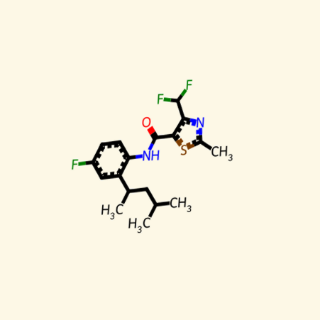 Cc1nc(C(F)F)c(C(=O)Nc2ccc(F)cc2C(C)CC(C)C)s1